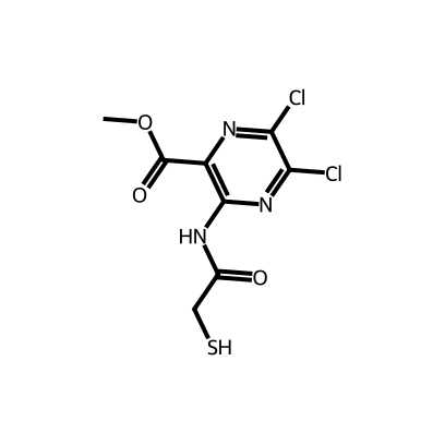 COC(=O)c1nc(Cl)c(Cl)nc1NC(=O)CS